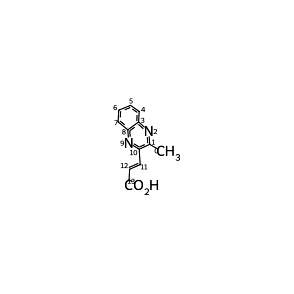 Cc1nc2ccccc2nc1C=CC(=O)O